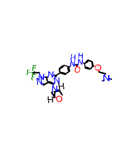 CN(C)CCOc1ccc(NC(=O)Nc2ccc(-c3nc(N4C[C@@H]5C[C@H]4CO5)c4cnn(CC(F)(F)F)c4n3)cc2)cc1